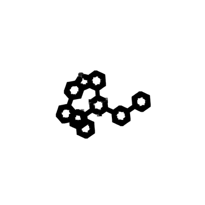 c1ccc(-c2cccc(-c3nc(-c4ccccc4)nc(-c4cccc5oc6ccc(-c7cccc8c7sc7ccccc78)cc6c45)n3)c2)cc1